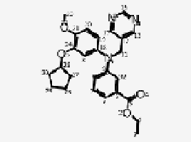 CCOC(=O)c1cccc(N(Cc2cncnc2)c2ccc(OC)c(OC3CCCC3)c2)c1